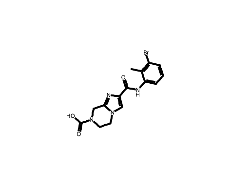 Cc1c(Br)cccc1NC(=O)c1cn2c(n1)CN(C(=O)O)CC2